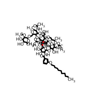 CCCCCCCCCCCOc1cccc(C(=O)NC2C(OC3C(O)C(NC(C)=O)[C@H](O[C@@H](C)C(CO)OC(OC4C(O)C(NC(C)=O)[C@H](OC5C(COC6OC(C)C(O)C(O)C6OC)OC(C)C(NC(C)=O)C5O)O[C@H]4CO)[C@H](O)NC(C)=O)O[C@H]3CO)OC(CO)C(O)C2O)c1